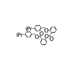 CC(C)c1ccc(COC(=O)c2ccccc2OC(=O)c2ccccc2OCc2ccc(C(C)C)cc2)cc1